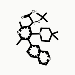 Cc1nc(C)c([C@H](OC(C)(C)C)C(=O)O)c(N2CCC(C)(C)CC2)c1-c1ccc2ccncc2c1